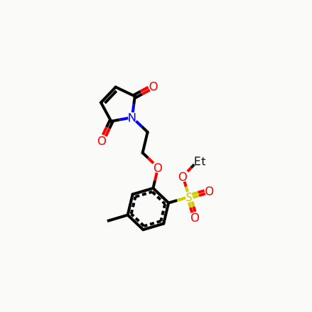 CCOS(=O)(=O)c1ccc(C)cc1OCCN1C(=O)C=CC1=O